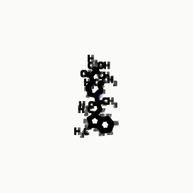 C=C/C=C(\C=C/C(C)C(=O)C(C)(C)O)C(C)(C)CC1(C)CC(C)c2ccccc21